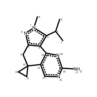 CC(C)c1c2c(nn1C)CC1(CC1)c1cnc(N)nc1-2